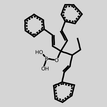 CCC(C=Cc1ccccc1)C(C=Cc1ccccc1)(C=Cc1ccccc1)OB(O)O